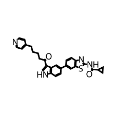 O=C(CCCCc1ccncc1)c1c[nH]c2ccc(-c3ccc4nc(NC(=O)C5CC5)sc4c3)cc12